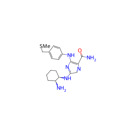 CSCc1ccc(Nc2nc(N[C@@H]3CCCC[C@@H]3N)cnc2C(N)=O)cc1